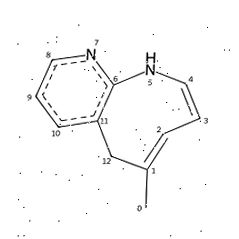 C/C1=C\C=C/Nc2ncccc2C1